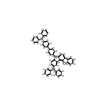 c1ccc(N(c2ccccc2)c2ccc(-c3ccc(-n4c5ccc(N(c6ccccc6)c6ccccc6)cc5c5c6oc7ccccc7c6ccc54)cc3)cc2)cc1